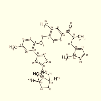 Cc1ccc(OCc2ccc(C(=O)N(C)Cc3ccnn3C)cc2C)c(-c2csc(N3C[C@H]4CC[C@H](C3)C4C(=O)O)n2)c1